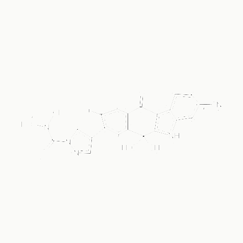 CCc1cc2c(cc1-c1cnn(C(=O)N(C)C)c1)C(C)(C)c1[nH]c3cc(C#N)ccc3c1C2=O